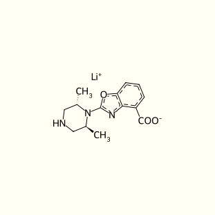 C[C@H]1CNC[C@H](C)N1c1nc2c(C(=O)[O-])cccc2o1.[Li+]